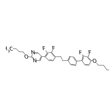 CCCCOc1ncc(-c2ccc(CCc3ccc(-c4ccc(OCCCC)c(F)c4F)cc3)c(F)c2F)cn1